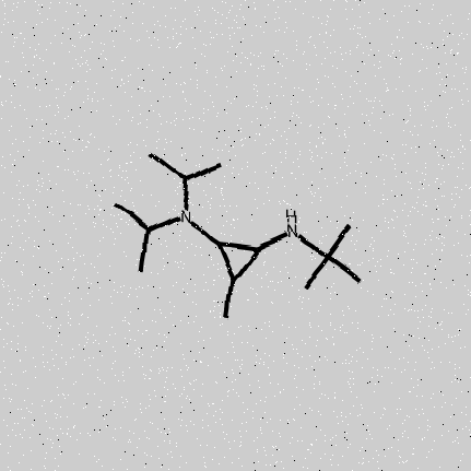 CC1C(NC(C)(C)C)C1N(C(C)C)C(C)C